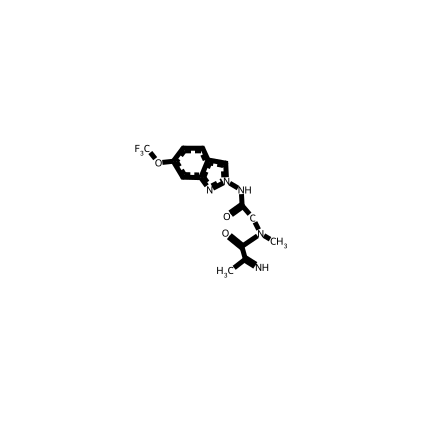 CC(=N)C(=O)N(C)CC(=O)Nn1cc2ccc(OC(F)(F)F)cc2n1